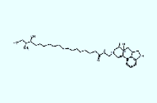 CN1C[C@H](CNC(=O)CCCCCCCCCCCCCCC(O)C(N)CO)C=C2c3cccc4c3C(CN4)C[C@H]21